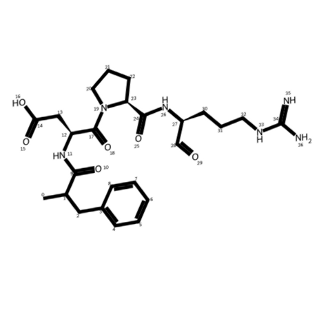 CC(Cc1ccccc1)C(=O)N[C@@H](CC(=O)O)C(=O)N1CCC[C@H]1C(=O)N[C@H](C=O)CCCNC(=N)N